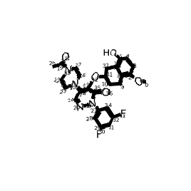 COc1ccc(O)c2c1CCC(Oc1c(N3CCN(C(C)=O)CC3)cnn(-c3cc(F)cc(F)c3)c1=O)C2